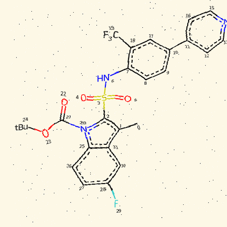 Cc1c(S(=O)(=O)Nc2ccc(-c3ccncc3)cc2C(F)(F)F)n(C(=O)OC(C)(C)C)c2ccc(F)cc12